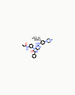 C=CC(=O)Nc1cccc(-n2c(=O)c(-c3ccccc3)nc3cnc(Nc4ccc(N5CCN(C)CC5)cc4OC)nc32)c1.CS(=O)(=O)O